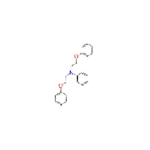 [c]1ccc(OCCN(CCOc2cc[c]cc2)c2ccccc2)cc1